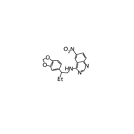 CCC(CNc1ncnc2ccc([N+](=O)[O-])cc12)c1ccc2c(c1)OCO2